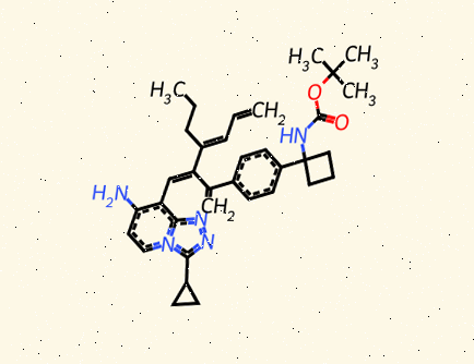 C=C/C=C(CCC)/C(=C/c1c(N)ccn2c(C3CC3)nnc12)C(=C)c1ccc(C2(NC(=O)OC(C)(C)C)CCC2)cc1